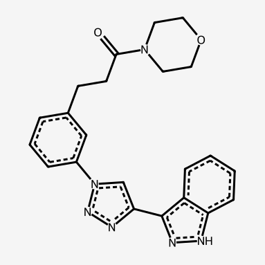 O=C(CCc1cccc(-n2cc(-c3n[nH]c4ccccc34)nn2)c1)N1CCOCC1